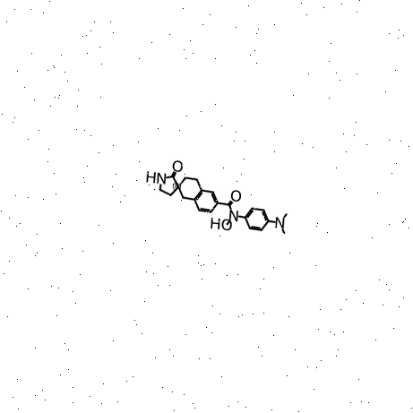 CN(C)c1ccc(N(O)C(=O)c2ccc3c(c2)CC[C@]2(CCNC2=O)C3)cc1